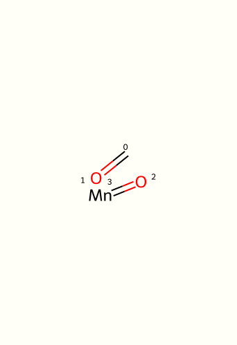 C=O.[O]=[Mn]